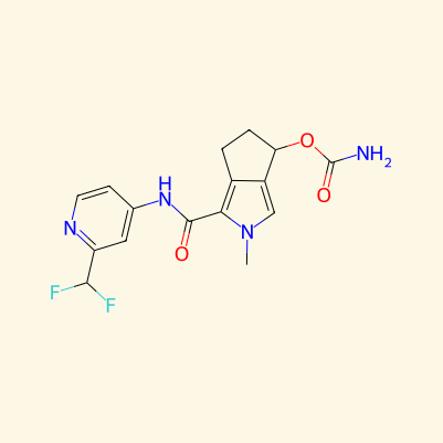 Cn1cc2c(c1C(=O)Nc1ccnc(C(F)F)c1)CCC2OC(N)=O